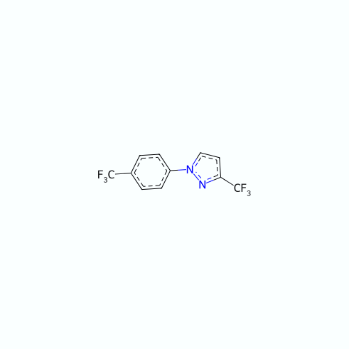 FC(F)(F)c1ccc(-n2ccc(C(F)(F)F)n2)cc1